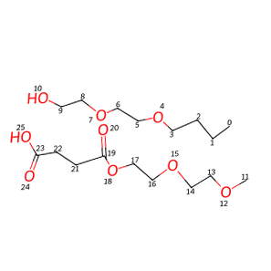 CCCCOCCOCCO.COCCOCCOC(=O)CCC(=O)O